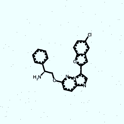 N[C@H](COc1ccc2ncc(-c3cc4cc(Cl)ccc4o3)n2n1)c1ccccc1